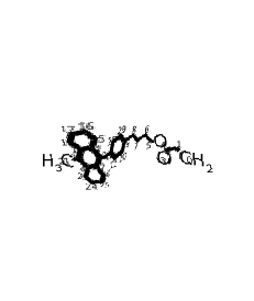 C=CC(=O)OCCCCc1ccc(-c2c3ccccc3c(C)c3ccccc23)cc1